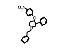 O=[N+]([O-])c1ccc(OC2CCN(CCc3ccccc3)CC2c2ccccc2)cc1